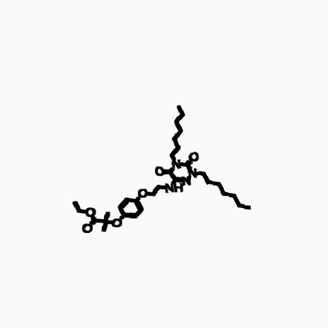 CCCCCCCn1nc(NCCOc2ccc(OC(C)(C)C(=O)OCC)cc2)c(=O)n(CCCCCCC)c1=O